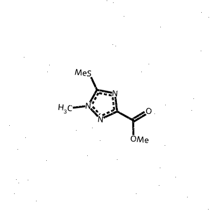 COC(=O)c1nc(SC)n(C)n1